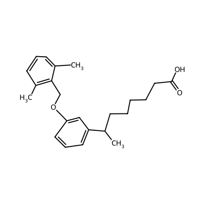 Cc1cccc(C)c1COc1cccc(C(C)CCCCCC(=O)O)c1